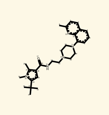 Cc1ccc2cccc(N3CCN(CCNC(=O)c4cc(C(C)(C)C)n(C)c4C)CC3)c2n1